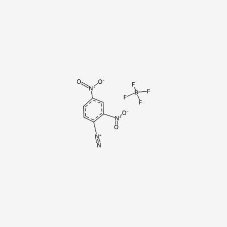 F[B-](F)(F)F.N#[N+]c1ccc([N+](=O)[O-])cc1[N+](=O)[O-]